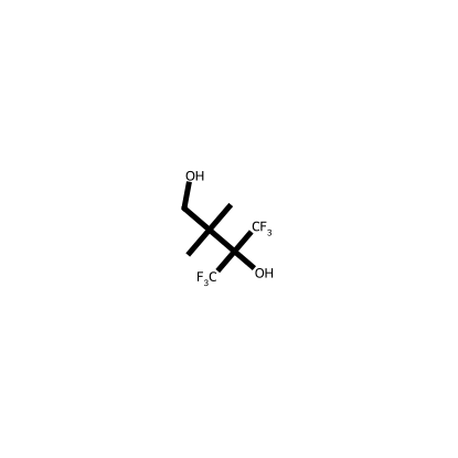 CC(C)(CO)C(O)(C(F)(F)F)C(F)(F)F